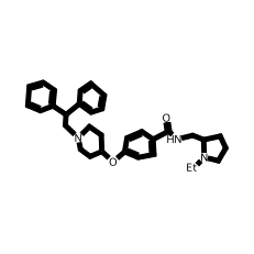 CCN1CCCC1CNC(=O)c1ccc(OC2CCN(CC(c3ccccc3)c3ccccc3)CC2)cc1